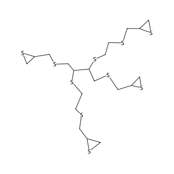 C(CSC(CSCC1CS1)C(CSCC1CS1)SCCSCC1CS1)SCC1CS1